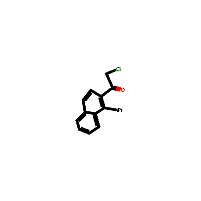 CC(C)c1c(C(=O)CCl)ccc2ccccc12